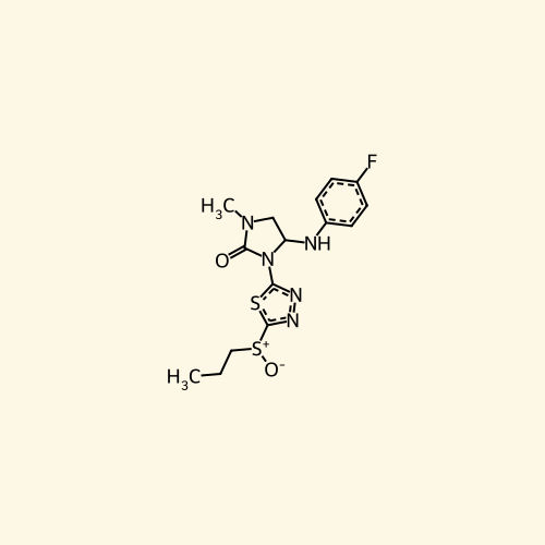 CCC[S+]([O-])c1nnc(N2C(=O)N(C)CC2Nc2ccc(F)cc2)s1